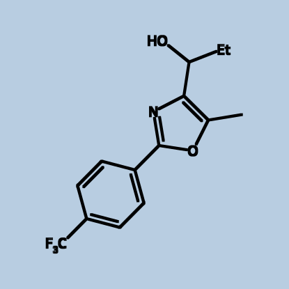 CCC(O)c1nc(-c2ccc(C(F)(F)F)cc2)oc1C